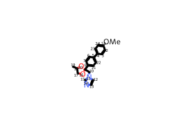 COc1ccc(-c2ccc(C3(Cn4ccnc4)OCC(C)O3)cc2)cc1